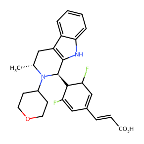 C[C@@H]1Cc2c([nH]c3ccccc23)[C@@H](C2C(F)=CC(/C=C/C(=O)O)=CC2F)N1C1CCOCC1